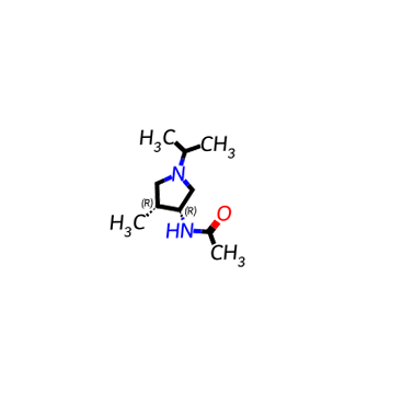 CC(=O)N[C@H]1CN(C(C)C)C[C@H]1C